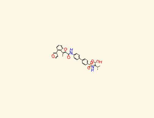 Cc1c(C(=O)Nc2ccc(-c3ccc(S(=O)(=O)N[C@H](C(=O)O)C(C)C)cc3)cc2)oc2cccc(-c3ccoc3)c12